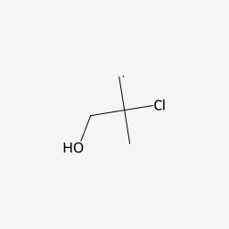 [CH2]C(C)(Cl)CO